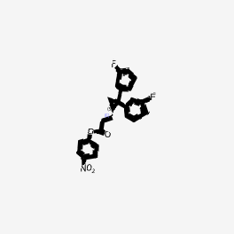 O=C(/C=C/[C@@H]1CC1(c1cccc(F)c1)c1cccc(F)c1)Oc1ccc([N+](=O)[O-])cc1